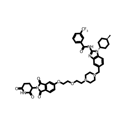 C[C@H]1CC[C@H](n2c(NC(=O)c3cccc(C(F)(F)F)c3)nc3cc(CN4CCN(CCOCCOc5ccc6c(c5)C(=O)N(C5CCC(=O)NC5=O)C6=O)CC4)ccc32)CC1